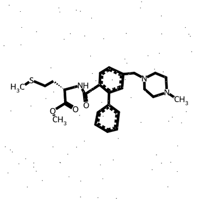 COC(=O)[C@H](CCSC)NC(=O)c1ccc(CN2CCN(C)CC2)cc1-c1ccccc1